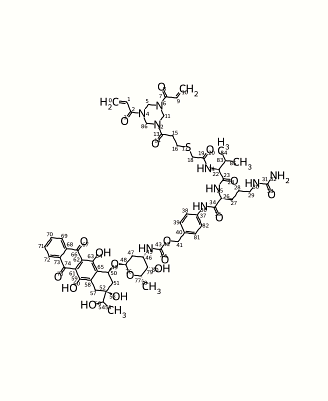 C=CC(=O)N1CN(C(=O)C=C)CN(C(=O)CCSCC(=O)N[C@H](C(=O)N[C@@H](CCCNC(N)=O)C(=O)Nc2ccc(COC(=O)N[C@H]3C[C@H](O[C@H]4C[C@](O)(C(C)O)Cc5c(O)c6c(c(O)c54)C(=O)c4ccccc4C6=O)O[C@@H](C)[C@H]3O)cc2)C(C)C)C1